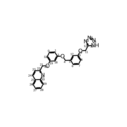 c1cc(OCc2cccc(OCc3nnn[nH]3)c2)cc(OCc2ccc3ccccc3n2)c1